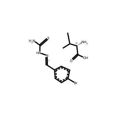 CC(C)[C@H](N)C(=O)O.NC(=S)N/N=C/c1ccc(Br)cc1